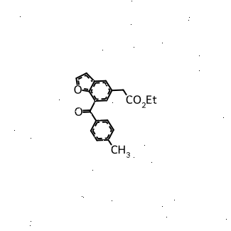 CCOC(=O)Cc1cc(C(=O)c2ccc(C)cc2)c2occc2c1